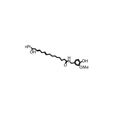 CCCC(O)CC=CCC=CCCCCCCCC(=O)NCc1ccc(O)c(OC)c1